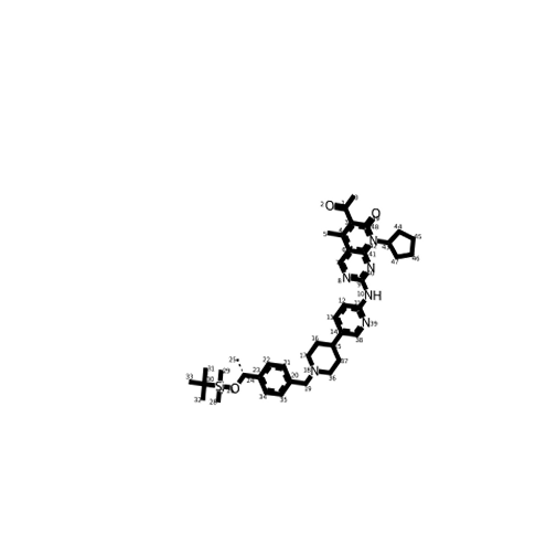 CC(=O)c1c(C)c2cnc(Nc3ccc(C4CCN(Cc5ccc([C@@H](C)O[Si](C)(C)C(C)(C)C)cc5)CC4)cn3)nc2n(C2CCCC2)c1=O